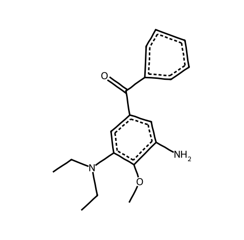 CCN(CC)c1cc(C(=O)c2ccccc2)cc(N)c1OC